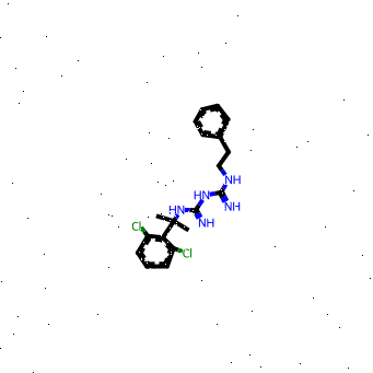 CC(C)(NC(=N)NC(=N)NCCc1ccccc1)c1c(Cl)cccc1Cl